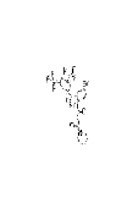 O=C(CCC(=O)N1CCCCC1)Nc1ccc(Br)cc1C(=O)N1C[C@H](C(F)(F)F)C[C@H](C(F)(F)F)C1